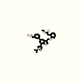 CCOC(=O)Cc1ccccc1OCc1coc2c(-c3cnn(C(C)C)c3)cc(-c3cccc(CN)c3)cc12